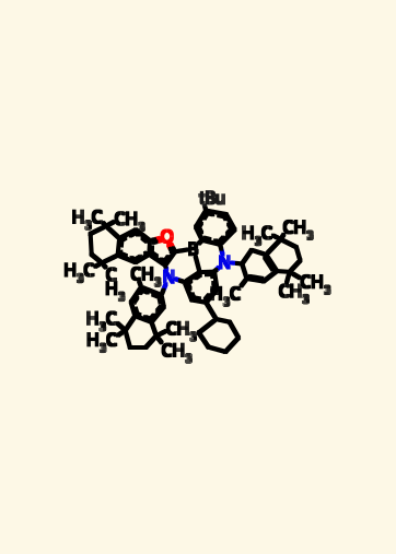 CC1=CC2=C(CC1N1c3ccc(C(C)(C)C)cc3B3c4oc5cc6c(cc5c4N(c4cc5c(cc4C)C(C)(C)CCC5(C)C)c4cc(C5CCCCC5)cc1c43)C(C)(C)CCC6(C)C)C(C)(C)CCC2(C)C